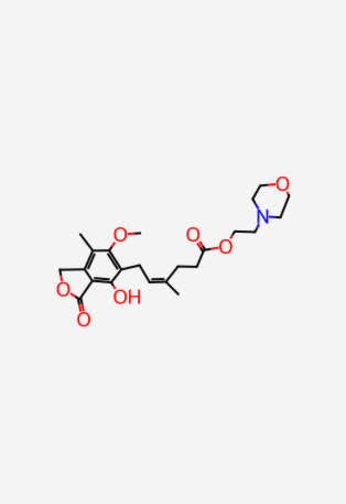 COc1c(C)c2c(c(O)c1C/C=C(/C)CCC(=O)OCCN1CCOCC1)C(=O)OC2